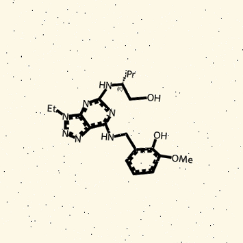 CCn1nnc2c(NCc3cccc(OC)c3O)nc(N[C@@H](CO)C(C)C)nc21